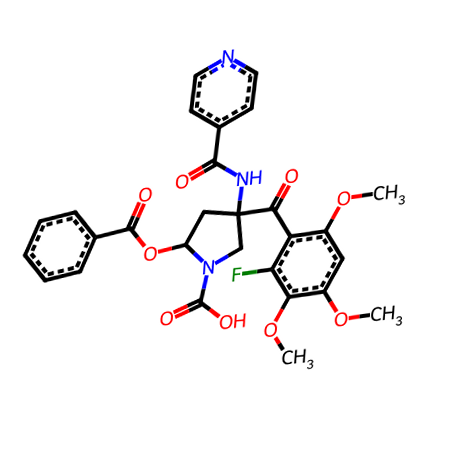 COc1cc(OC)c(C(=O)C2(NC(=O)c3ccncc3)CC(OC(=O)c3ccccc3)N(C(=O)O)C2)c(F)c1OC